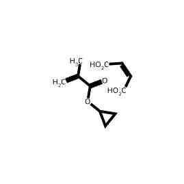 C=C(C)C(=O)OC1CC1.O=C(O)/C=C\C(=O)O